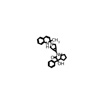 CC1(N2CC3C(C2)C3NC(=O)C(O)(c2ccccc2)C2CCCC2)C=Cc2ccccc2N1